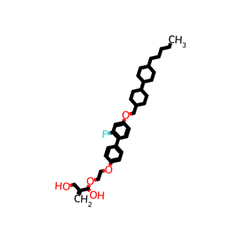 C=C(CO)C(O)OCCOc1ccc(-c2ccc(OCC3CCC(C4CCC(CCCCC)CC4)CC3)cc2F)cc1